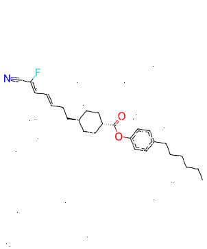 CCCCCCc1ccc(OC(=O)[C@H]2CC[C@H](CCC=CC=C(F)C#N)CC2)cc1